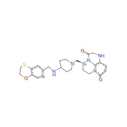 O=C1CNc2ccc(=O)n3c2N1[C@H](CN1CCC(NCc2cc4c(cn2)OCCS4)CC1)CC3